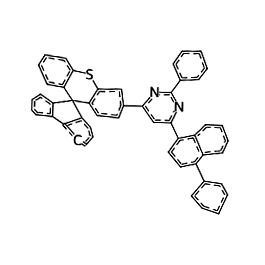 c1ccc(-c2nc(-c3ccc4c(c3)Sc3ccccc3C43c4ccccc4-c4ccccc43)cc(-c3ccc(-c4ccccc4)c4ccccc34)n2)cc1